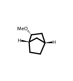 CO[C@@H]1C[C@@H]2CC[C@H]1C2